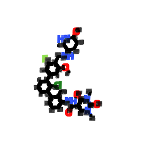 COc1cc(-c2cccc(-c3cccc(NC(=O)c4cn(C)c(=O)n(C)c4=O)c3C)c2Cl)cc(F)c1CN[C@H]1CCC(=O)NC1